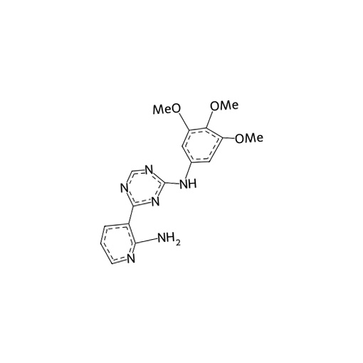 COc1cc(Nc2ncnc(-c3cccnc3N)n2)cc(OC)c1OC